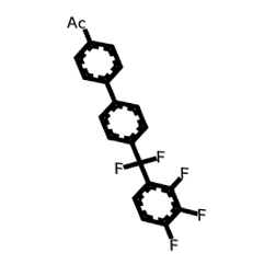 CC(=O)c1ccc(-c2ccc(C(F)(F)c3ccc(F)c(F)c3F)cc2)cc1